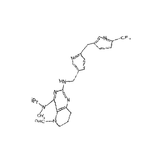 CC(C)N(C)c1nc(NCc2ccc(Cc3ccc(C(F)(F)F)nc3)nc2)nc2c1N(C=O)CCC2